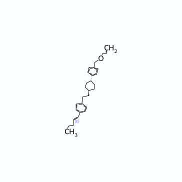 C=CCOCc1ccc([C@H]2CC[C@H](CCc3ccc(/C=C/CCC)cc3)CC2)cc1